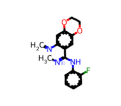 C=Nc1cc2c(cc1/C(=N\C)Nc1ccccc1F)OCCO2